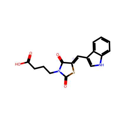 O=C(O)CCCN1C(=O)S/C(=C\c2c[nH]c3ccccc23)C1=O